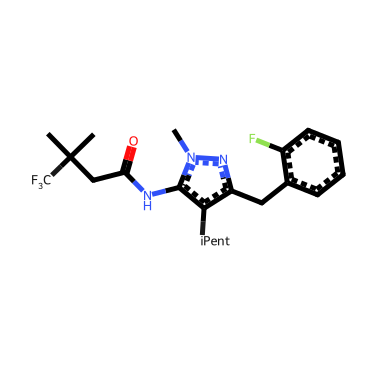 CCCC(C)c1c(Cc2ccccc2F)nn(C)c1NC(=O)CC(C)(C)C(F)(F)F